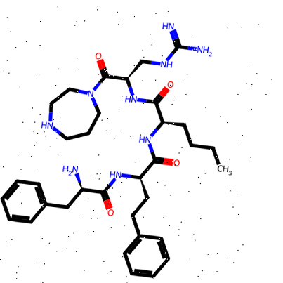 CCCC[C@@H](NC(=O)[C@@H](CCc1ccccc1)NC(=O)[C@H](N)Cc1ccccc1)C(=O)N[C@H](CNC(=N)N)C(=O)N1CCCNCC1